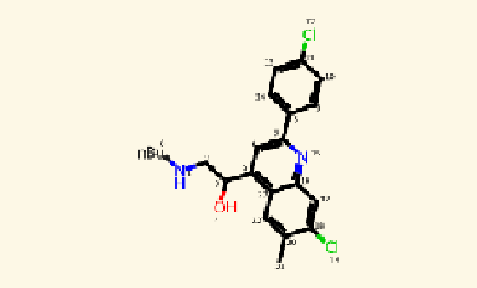 CCCCNCC(O)c1cc(-c2ccc(Cl)cc2)nc2cc(Cl)c(C)cc12